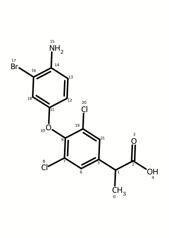 CC(C(=O)O)c1cc(Cl)c(Oc2ccc(N)c(Br)c2)c(Cl)c1